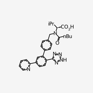 CCCCC(=O)N(Cc1ccc(-c2cc(-c3ccccn3)ccc2-c2nn[nH]n2)cc1)[C@H](C(=O)O)C(C)C